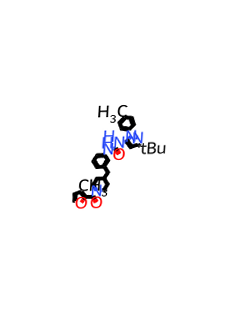 Cc1ccc(-n2nc(C(C)(C)C)cc2NC(=O)Nc2cccc(CC3CCN(C(=O)c4occc4C)CC3)c2)cc1